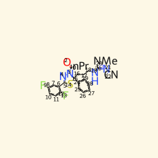 CCCC(=O)N1N=C(c2cc(F)ccc2F)SC1(CCCN/C(=N\C#N)NC)c1ccccc1